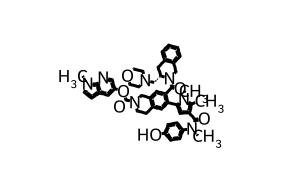 Cc1c(C(=O)N(C)c2ccc(O)cc2)cc(-c2cc3c(cc2C(=O)N2Cc4ccccc4C[C@H]2CN2CCOCC2)CN(C(=O)Oc2cnc4c(ccn4C)c2)CC3)n1C